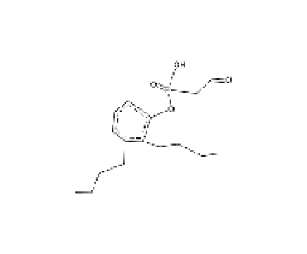 CCCCc1cccc(OP(=O)(O)CC=O)c1CCCC